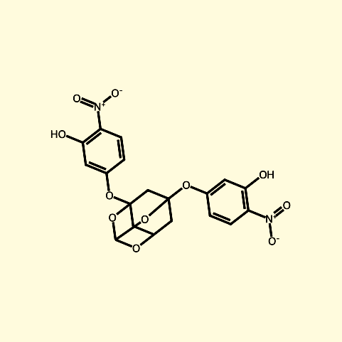 O=[N+]([O-])c1ccc(OC23CC4CC(Oc5ccc([N+](=O)[O-])c(O)c5)(C2)OC(O4)O3)cc1O